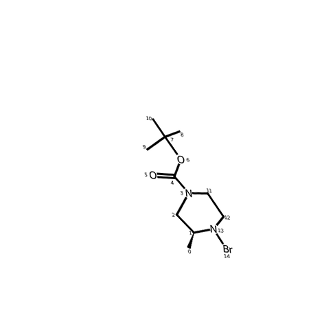 C[C@H]1CN(C(=O)OC(C)(C)C)CCN1Br